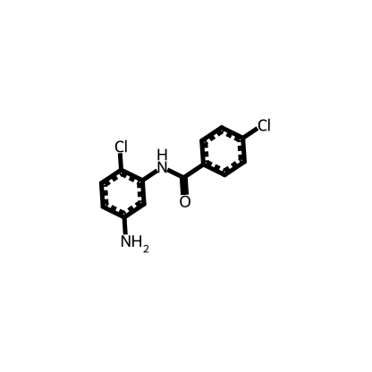 Nc1ccc(Cl)c(NC(=O)c2ccc(Cl)cc2)c1